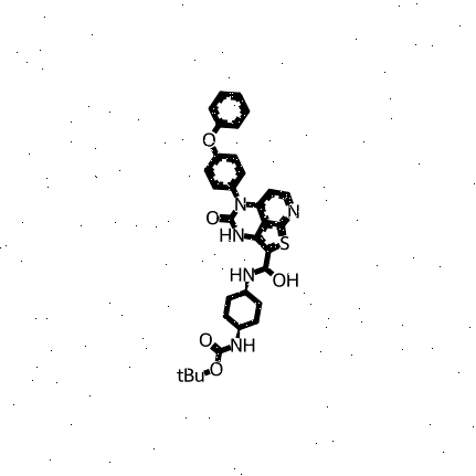 CC(C)(C)OC(=O)N[C@H]1CC[C@@H](NC(O)c2sc3nccc4c3c2NC(=O)N4c2ccc(Oc3ccccc3)cc2)CC1